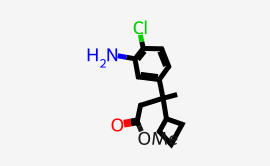 COC(=O)CC(C)(c1ccc(Cl)c(N)c1)C1CCC1